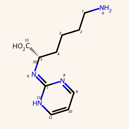 NCCCC[C@H](N=c1nccc[nH]1)C(=O)O